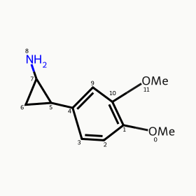 COc1ccc(C2CC2N)cc1OC